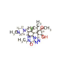 CCNC(=O)c1nnc(-c2cc(C(C)C)c(OC)cc2O)n1-c1ccc(CN2CCN(C)CC2)c(F)c1